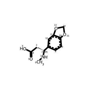 CN[C@H](CC(=O)O)c1ccc2c(c1)OCO2